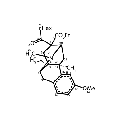 CCCCCCC(=O)C1(C(=O)OCC)C[C@]2(C)C3Cc4ccc(OC)cc4[C@]2(C)CC1N3C